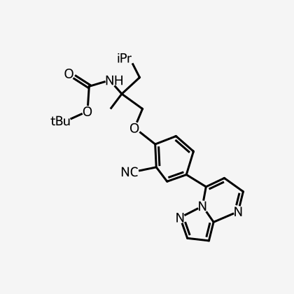 CC(C)CC(C)(COc1ccc(-c2ccnc3ccnn23)cc1C#N)NC(=O)OC(C)(C)C